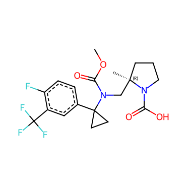 COC(=O)N(C[C@@]1(C)CCCN1C(=O)O)C1(c2ccc(F)c(C(F)(F)F)c2)CC1